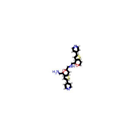 NCC1OC(CNCC2OCCc3sc(-c4ccncc4)cc32)Cc2sc(-c3ccncc3)cc21